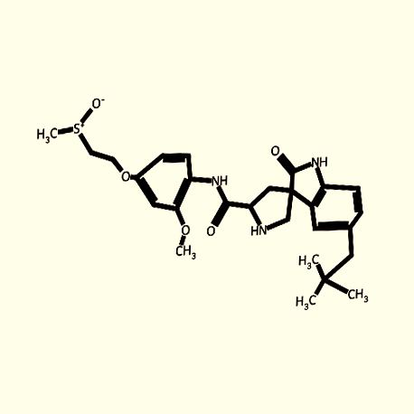 COc1cc(OCC[S+](C)[O-])ccc1NC(=O)C1CC2(CN1)C(=O)Nc1ccc(CC(C)(C)C)cc12